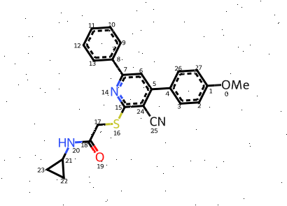 COc1ccc(-c2cc(-c3ccccc3)nc(SCC(=O)NC3CC3)c2C#N)cc1